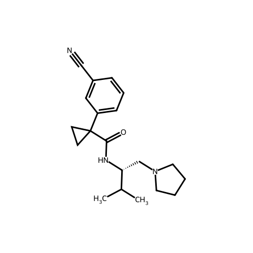 CC(C)[C@@H](CN1CCCC1)NC(=O)C1(c2cccc(C#N)c2)CC1